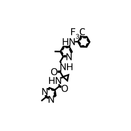 Cc1ncc(C(=O)NC2(C(=O)NCc3ncc(Nc4ccccc4C(F)(F)F)cc3C)CC2)cn1